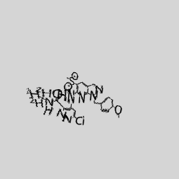 [2H]C([2H])([2H])NC(=O)c1nnc(Cl)cc1Nc1nc2c(cnn2Cc2ccc(OC)cc2)cc1S(C)(=O)=O